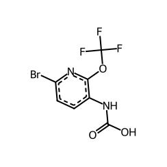 O=C(O)Nc1ccc(Br)nc1OC(F)(F)F